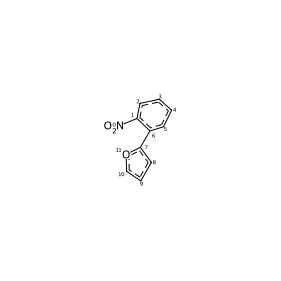 O=[N+]([O-])c1ccccc1-c1ccco1